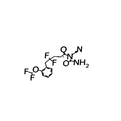 N#CN(C(N)=O)C(=O)[CH]CC(F)(F)Cc1ccccc1OC(F)F